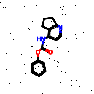 O=C(Nc1ccnc2c1CCC2)Oc1ccccc1